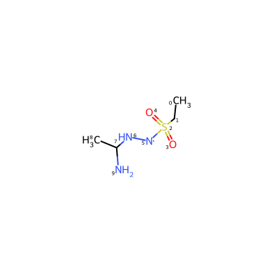 CCS(=O)(=O)[N]NC(C)N